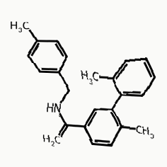 C=C(NCc1ccc(C)cc1)c1ccc(C)c(-c2ccccc2C)c1